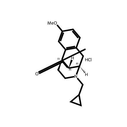 COc1ccc2c(c1)[C@]13CCN(CC4CC4)[C@H](C2)[C@@H]1CCC(=O)C3.Cl